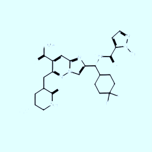 CCn1nccc1C(=O)N[C@H](c1cn2nc(CC3C[C@@H](C(F)(F)F)CNC3=O)c(C(=O)OC)cc2n1)C1CCC(F)(F)CC1